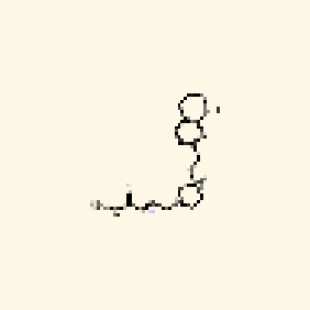 CC(C)(C)OC(=O)/C=C/CN1CC[C@@](F)(CCc2ccc3c(n2)NCCC3)C1